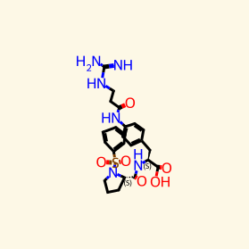 N=C(N)NCCC(=O)Nc1ccc(C[C@H](NC(=O)[C@@H]2CCCN2S(=O)(=O)c2ccccc2)C(=O)O)cc1